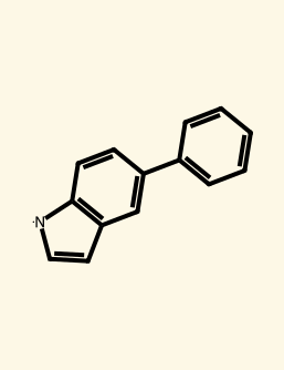 C1=Cc2cc(-c3ccccc3)ccc2[N]1